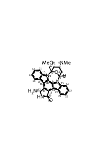 CN[C@@H]1C[C@H]2O[C@@](C)([C@@H]1OC)n1c3ccccc3c3c4c(c5c6ccccc6n2c5c31)C(=O)N[C@@H]4N